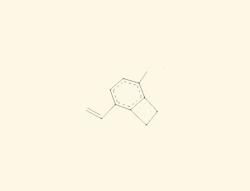 C=Cc1ccc(C(=O)O)c2c1CC2